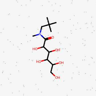 CN(CC(C)(C)C)C(=O)C(O)C(O)C(O)C(O)CO